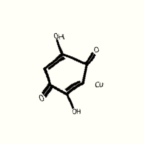 O=C1C=C(O)C(=O)C=C1O.[Cu]